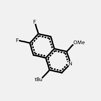 COc1ncc(C(C)(C)C)c2cc(F)c(F)cc12